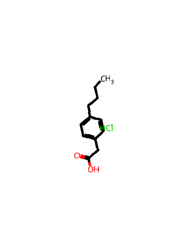 CCCCc1ccc(CC(=O)O)cc1.Cl